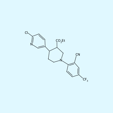 CCOC(=O)C1CN(c2ccc(C(F)(F)F)cc2C#N)CCC1c1ccc(Cl)nc1